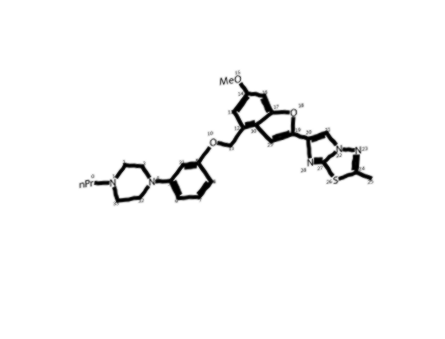 CCCN1CCN(c2cccc(OCc3cc(OC)cc4oc(-c5cn6nc(C)sc6n5)cc34)c2)CC1